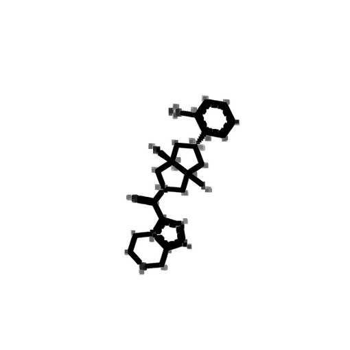 O=C(c1nnc2n1CCOC2)N1C[C@@H]2C[C@H](c3ccccc3C(F)(F)F)CC2(I)C1